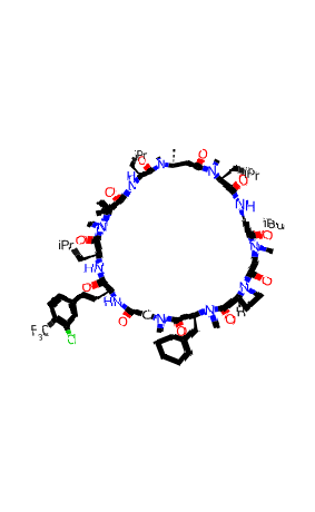 CC[C@H](C)[C@@H]1NC(=O)[C@H](CC(C)C)N(C)C(=O)C[C@@H](C)N(C)C(=O)[C@H](CC(C)C)NC(=O)C(C)(C)N(C)C(=O)[C@H](CC(C)C)NC(=O)[C@H](CCc2ccc(C(F)(F)F)c(Cl)c2)NC(=O)CN(C)C(=O)[C@H](CC2CCCCC2)N(C)C(=O)[C@@H]2CCN2C(=O)CN(C)C1=O